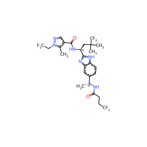 Cc1c(C(=O)N[C@@H](CC(C)(C)C(F)(F)F)c2nc3cc([C@@H](C)NC(=O)CCC(F)(F)F)ccc3[nH]2)cnn1CC(F)(F)F